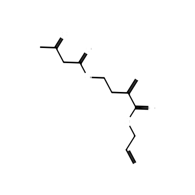 C=CCOC(=O)C(=C)CCOC(=O)CC(C)=O